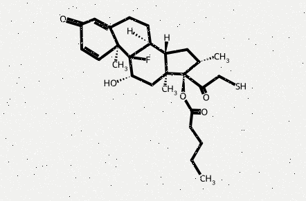 CCCCC(=O)O[C@]1(C(=O)CS)[C@@H](C)C[C@H]2[C@@H]3CCC4=CC(=O)C=C[C@]4(C)C3(F)[C@@H](O)C[C@@]21C